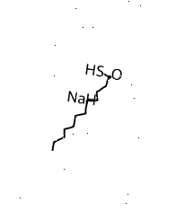 CCCCCCCCCCCC(=O)S.[NaH]